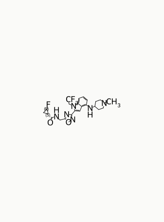 CN1CCC(Nc2cccc3c2cc(-c2noc(CNC(=O)[C@@H]4C[C@H]4F)n2)n3CC(F)(F)F)CC1